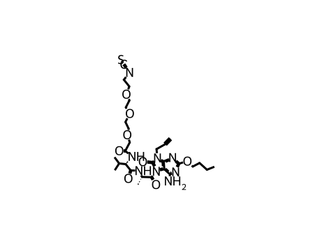 C#CCn1c(=O)n(C(=O)[C@H](C)NC(=O)[C@@H](NC(=O)COCCOCCOCCN=C=S)C(C)C)c2c(N)nc(OCCCC)nc21